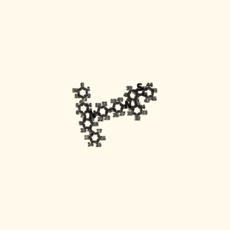 c1ccc(-c2ccc3c4ccc(-c5ccccc5)cc4n(-c4ccc(-c5ccc(-n6c7ccccc7c7c8c(ccc76)sc6ccccc68)cc5)cc4)c3c2)cc1